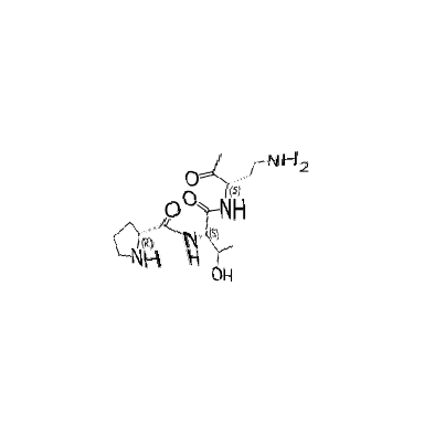 CC(=O)[C@H](CCN)NC(=O)[C@@H](NC(=O)[C@H]1CCCN1)C(C)O